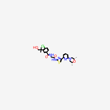 C[C@@H]1CN(c2cccc(-c3csc(NC(=O)CNC(=O)c4ccc(Cl)c(C(C)(C)CO)c4)n3)n2)C[C@H](C)O1